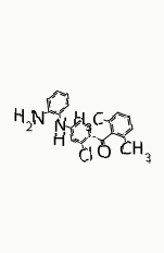 Cc1cccc(C)c1C(=O)c1ccc(Nc2ccccc2N)cc1Cl